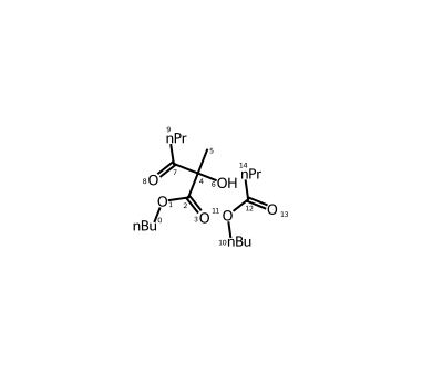 CCCCOC(=O)C(C)(O)C(=O)CCC.CCCCOC(=O)CCC